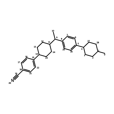 CC1CCC(c2ccc(C(C)C3CCC(c4ccc(C#N)cc4)CC3)cc2)CC1